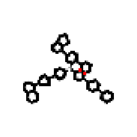 c1ccc(-c2ccc(-c3ccc(N(c4ccc(-c5ccc(-c6cccc7ccccc67)cc5)cc4)c4cc(-c5cccc6ccccc56)ccc4-c4ccccc4)cc3)cc2)cc1